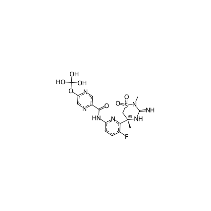 CN1C(=N)N[C@](C)(c2nc(NC(=O)c3cnc(OC(O)(O)O)cn3)ccc2F)CS1(=O)=O